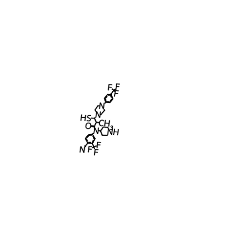 CC(C(=O)N(c1ccc(C#N)c(C(F)(F)F)c1)C1CCNCC1)C(S)N1CCN(c2ccc(C(F)(F)F)cc2)CC1